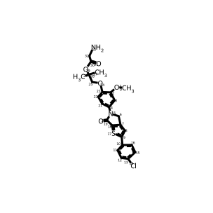 COc1cc(N2Cc3cc(-c4ccc(Cl)cc4)sc3C2=O)ccc1OCC(C)(C)OC(=O)CN